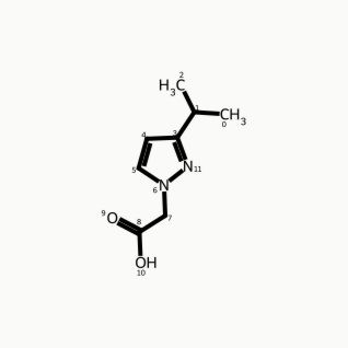 CC(C)c1ccn(CC(=O)O)n1